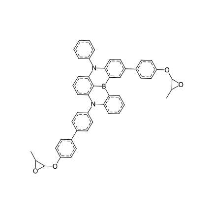 CC1OC1Oc1ccc(-c2ccc(N3c4ccccc4B4c5cc(-c6ccc(OC7OC7C)cc6)ccc5N(c5ccccc5)c5cccc3c54)cc2)cc1